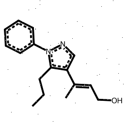 CCCc1c(/C(C)=C/CO)cnn1-c1ccccc1